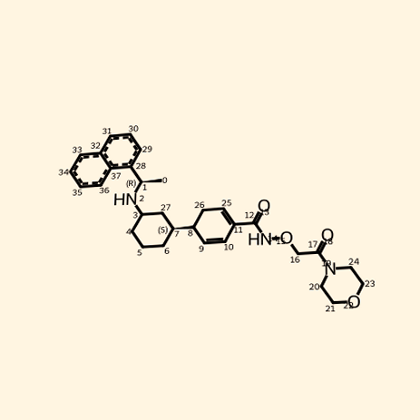 C[C@@H](NC1CCC[C@H](C2C=CC(C(=O)NOCC(=O)N3CCOCC3)=CC2)C1)c1cccc2ccccc12